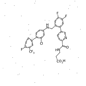 O=C(O)CCNC(=O)c1ccc(-c2cc(F)c(F)cc2CNc2ccc(-c3ccc(F)c(C(F)(F)F)c3)c(Cl)c2)cn1